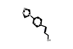 OC/C=C/c1ccc(-n2cnnc2)cc1